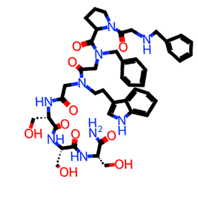 NC(=O)[C@H](CO)NC(=O)[C@H](CO)NC(=O)[C@H](CO)NC(=O)CN(CCc1c[nH]c2ccccc12)C(=O)CN(Cc1ccccc1)C(=O)C1CCCN1C(=O)CNCc1ccccc1